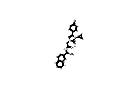 CC(NC(=O)Cn1cc(-c2ccc(Br)cc2)n(C2CC2)c1=O)c1ccc2ccccc2c1